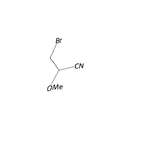 COC(C#N)CBr